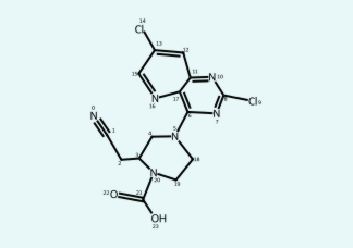 N#CCC1CN(c2nc(Cl)nc3cc(Cl)cnc23)CCN1C(=O)O